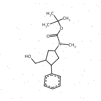 CN(C(=O)OC(C)(C)C)C1CC(CO)C(c2ccccc2)C1